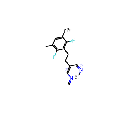 C=N/C=C(\C=N/CC)CCc1c(F)c(C)cc(CCC)c1F